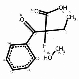 CCC(F)(C(=O)O)C(=O)c1ccccc1.CO